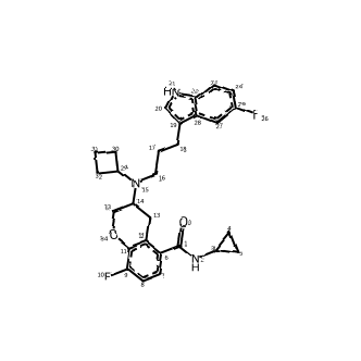 O=C(NC1CC1)c1ccc(F)c2c1CC(N(CCCc1c[nH]c3ccc(F)cc13)C1CCC1)CO2